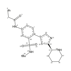 CC(C)CC(=O)Nc1ccc(-c2cnc([C@@H]3CCCCN3)s2)c(S(=O)(=O)NC(C)(C)C)c1